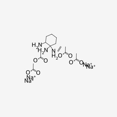 C=C.CC(=O)[O-].CC(=O)[O-].CC(=O)[O-].CC(=O)[O-].NC1CCCCC1(N)N.[Na+].[Na+].[Na+].[Na+]